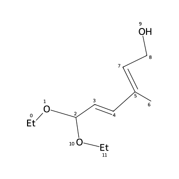 CCOC(C=CC(C)=CCO)OCC